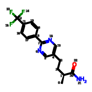 C[C@@H](C[CH]c1cnc(-c2ccc(C(F)(F)F)cc2)nc1)C(N)=O